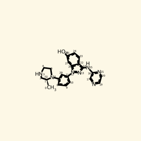 C[C@H]1CNCCN1c1cccc(-n2nc(Nc3cnccn3)c3ccc(O)cc32)c1